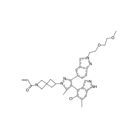 C=CC(=O)N1CC2(CC(n3nc(-c4ccc5nn(CCOCCOC)cc5c4)c(-c4c(Cl)c(C)cc5[nH]ncc45)c3C)C2)C1